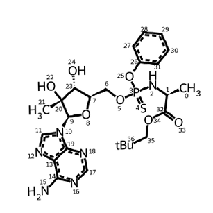 C[C@H](NP(=S)(OC[C@H]1O[C@@H](n2cnc3c(N)ncnc32)[C@](C)(O)[C@@H]1O)Oc1ccccc1)C(=O)OCC(C)(C)C